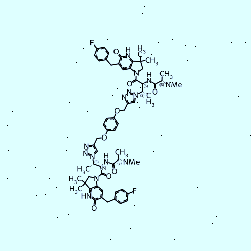 CN[C@@H](C)C(=O)N[C@H](C(=O)N1CC(C)(C)c2[nH]c(=O)c(Cc3ccc(F)cc3)cc21)[C@H](C)n1cc(COc2ccc(OCc3cn([C@@H](C)[C@H](NC(=O)[C@H](C)NC)C(=O)N4CC(C)(C)c5[nH]c(=O)c(Cc6ccc(F)cc6)cc54)nn3)cc2)nn1